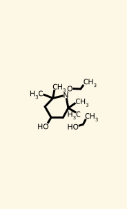 CCO.CCON1C(C)(C)CC(O)CC1(C)C